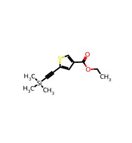 CCOC(=O)c1csc(C#C[Si](C)(C)C)c1